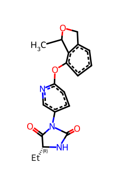 CC[C@H]1NC(=O)N(c2ccc(Oc3cccc4c3C(C)OC4)nc2)C1=O